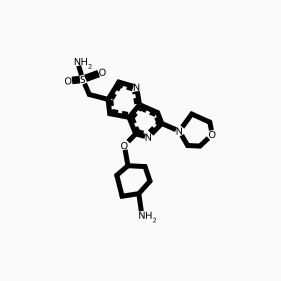 NC1CCC(Oc2nc(N3CCOCC3)cc3ncc(CS(N)(=O)=O)cc23)CC1